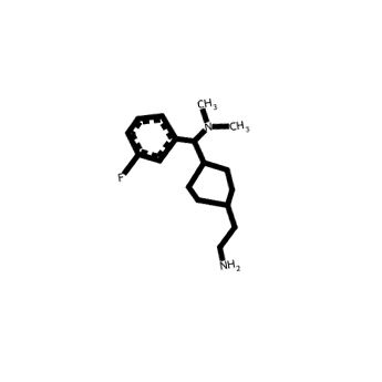 CN(C)C(c1cccc(F)c1)C1CCC(CCN)CC1